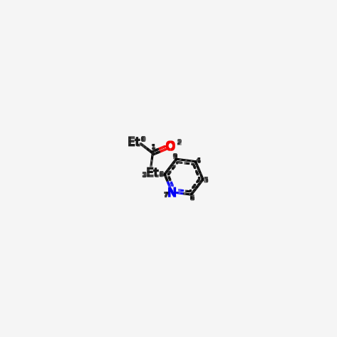 CCC(=O)CC.c1ccncc1